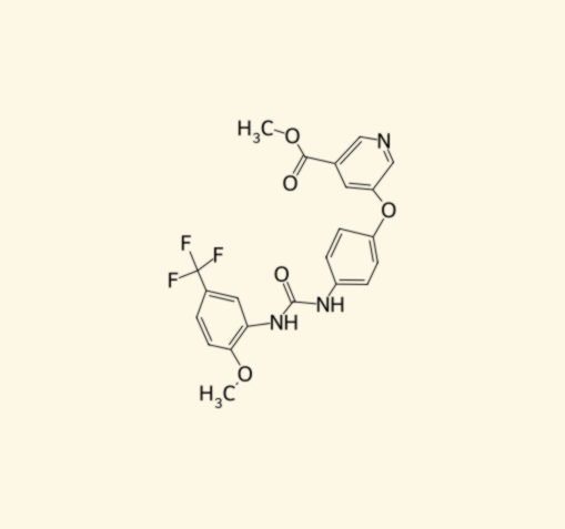 COC(=O)c1cncc(Oc2ccc(NC(=O)Nc3cc(C(F)(F)F)ccc3OC)cc2)c1